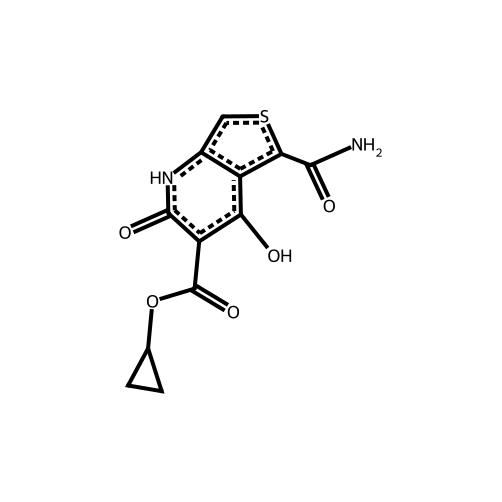 NC(=O)c1scc2[nH]c(=O)c(C(=O)OC3CC3)c(O)c12